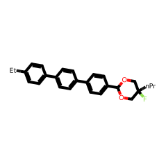 CCCC1(F)COC(c2ccc(-c3ccc(-c4ccc(CC)cc4)cc3)cc2)OC1